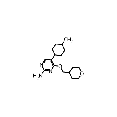 CC1CCC(c2cnc(N)nc2OCC2CCOCC2)CC1